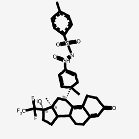 Cc1ccc(S(=O)(=O)N=[SH](=O)C2=CCC(C)([C@H]3C[C@@]4(C)C(CC[C@@]4(O)C(F)(F)C(F)(F)F)C4CCC5=CC(=O)CCC5=C43)C=C2)cc1